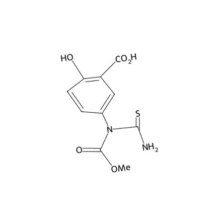 COC(=O)N(C(N)=S)c1ccc(O)c(C(=O)O)c1